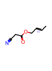 C/C=C/COC(=O)CC#N